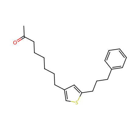 CC(=O)CCCCCCc1csc(CCCc2ccccc2)c1